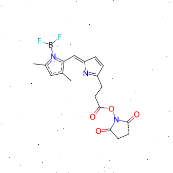 Cc1cc(C)n(B(F)F)c1/C=C1/C=CC(CCC(=O)ON2C(=O)CCC2=O)=N1